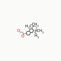 CC1(C)CCC(C)(C)c2cc3cc(C(=O)CC=O)ccc3cc21